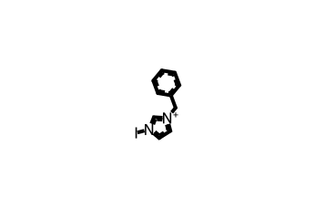 In1cc[n+](Cc2ccccc2)c1